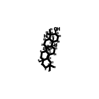 CC1(C)CC[C@]2(C)CC[C@]3(C)C(=C2C1)CC[C@@H]1[C@@]2(C)CC[C@H](O)C(C)(C)[C@@H]2CC[C@]13C